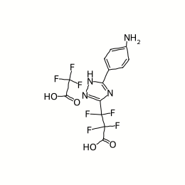 Nc1ccc(-c2nc(C(F)(F)C(F)(F)C(=O)O)n[nH]2)cc1.O=C(O)C(F)(F)F